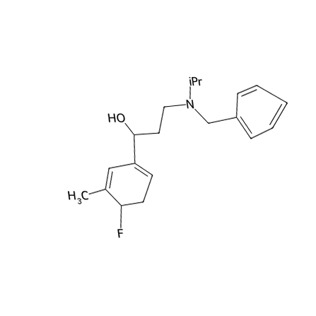 CC1=CC(C(O)CCN(Cc2ccccc2)C(C)C)=CCC1F